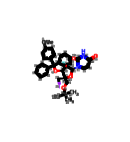 COc1ccc(C(O[C@H]2C(F)(F)[C@H](n3ccc(=O)[nH]c3=O)O[C@]2(CI)CO[Si](C)(C)C(C)(C)C)(c2ccccc2)c2ccccc2)cc1